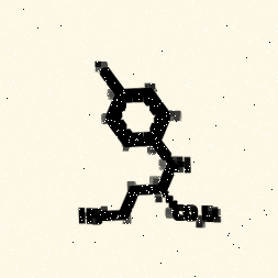 CCOC(=O)[C@H](CCS)Nc1ccc(C)cc1